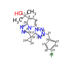 CC(C)(O)c1cccn2c(C3(c4nnn(Cc5ccc(F)cc5)n4)CC3)nnc12